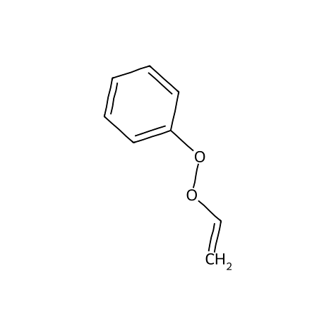 C=COOc1ccccc1